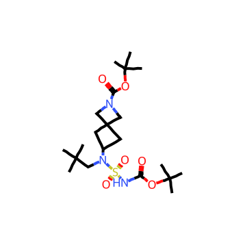 CC(C)(C)CN(C1CC2(C1)CN(C(=O)OC(C)(C)C)C2)S(=O)(=O)NC(=O)OC(C)(C)C